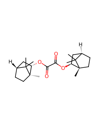 CC1(C)[C@@H]2CC[C@]1(C)[C@@H](OC(=O)C(=O)O[C@H]1C[C@H]3CC[C@@]1(C)C3(C)C)C2